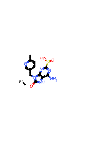 CCC.Cc1ccc(Cn2c(=O)[nH]c3c(N)nc(S(=O)O)nc32)cn1